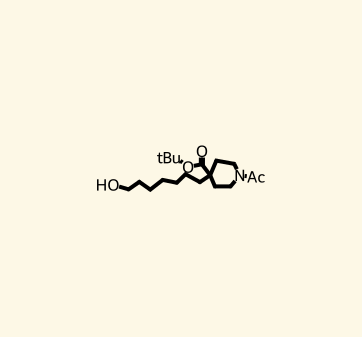 CC(=O)N1CCC(CCCCCCCO)(C(=O)OC(C)(C)C)CC1